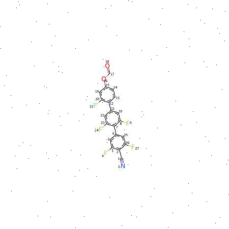 N#Cc1c(F)cc(-c2c(F)cc(-c3ccc(OC=O)cc3F)cc2F)cc1F